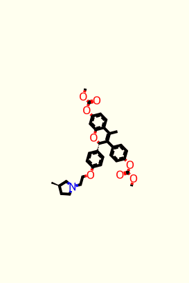 COC(=O)Oc1ccc(C2=C(C)c3ccc(OC(=O)OC)cc3O[C@H]2c2ccc(OCCN3CC[C@@H](C)C3)cc2)cc1